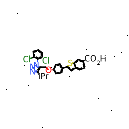 CC(C)c1nnn(-c2c(Cl)cccc2Cl)c1COc1ccc(-c2cc3ccc(C(=O)O)cc3s2)cc1